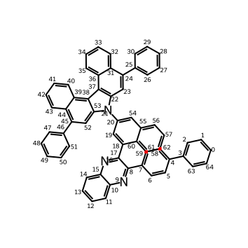 c1ccc(-c2ccc(-c3nc4ccccc4nc3-c3cc(-n4c5cc(-c6ccccc6)c6ccccc6c5c5c6ccccc6c(-c6ccccc6)cc54)cc4ccccc34)cc2)cc1